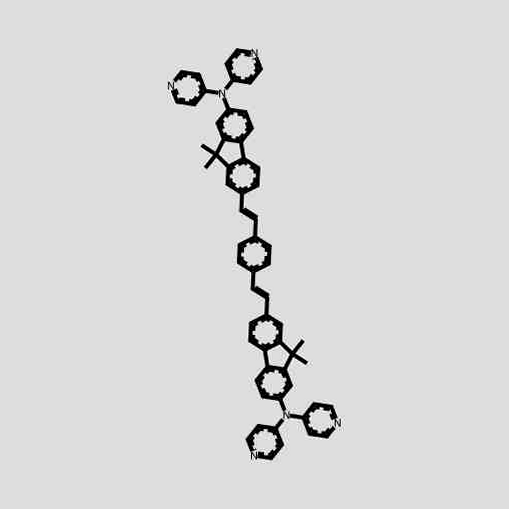 CC1(C)c2cc(/C=C/c3ccc(/C=C/c4ccc5c(c4)C(C)(C)c4cc(N(c6ccncc6)c6ccncc6)ccc4-5)cc3)ccc2-c2ccc(N(c3ccncc3)c3ccncc3)cc21